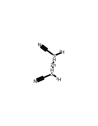 [2H][SH](C#N)[Zn][SH]([2H])C#N